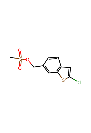 CS(=O)(=O)OCc1ccc2cc(Cl)sc2c1